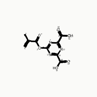 C=C(C)C(=O)Oc1nc(C(=O)O)nc(C(=O)O)n1